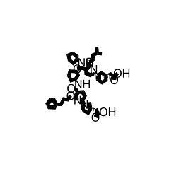 CC(C)CCOc1nc(N2CCC[C@@H](CC(=O)O)C2)ccc1C(=O)NC1CCCCC1.O=C(O)C[C@@H]1CCCN(c2ccc(C(=O)NC3CCCCC3)c(OCCCc3ccccc3)n2)C1